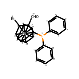 CC[C]12[CH]3[CH]4[C]5(P(c6ccccc6)c6ccccc6)[C]1(C=O)[Fe]34251678[CH]2[CH]1[CH]6[CH]7[CH]28